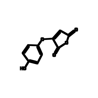 O=C1C=C(Oc2ccc(O)cc2)C(=O)O1